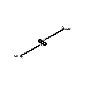 COC(=O)CCCCCCCCCCCCCCCOc1c2ccccc2c(OCCCCCCCCCCCCCCCC(=O)OC)c2ccccc12